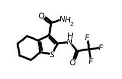 NC(=O)c1c(NC(=O)C(F)(F)F)sc2c1CCCC2